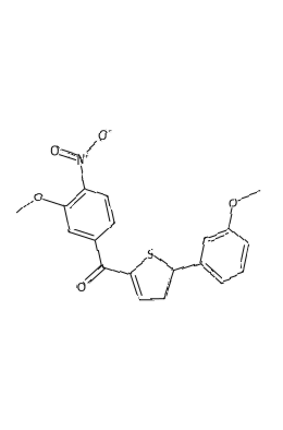 COc1cccc(C2CC=C(C(=O)c3ccc([N+](=O)[O-])c(OC)c3)S2)c1